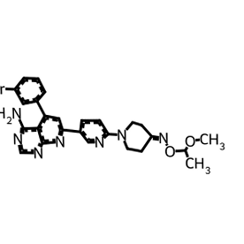 COC(C)ON=C1CCN(c2ccc(-c3cc(-c4cccc(Br)c4)c4c(N)ncnc4n3)cn2)CC1